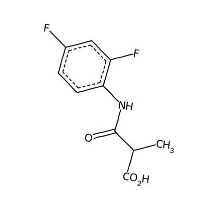 CC(C(=O)O)C(=O)Nc1ccc(F)cc1F